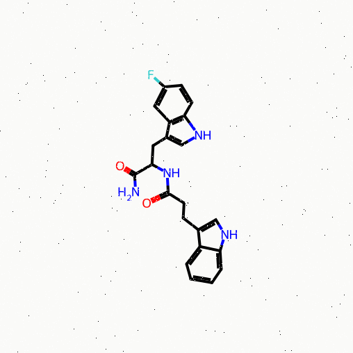 NC(=O)C(Cc1c[nH]c2ccc(F)cc12)NC(=O)[CH]Cc1c[nH]c2ccccc12